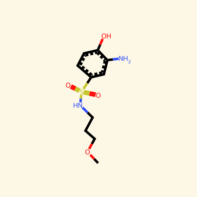 COCCCNS(=O)(=O)c1ccc(O)c(N)c1